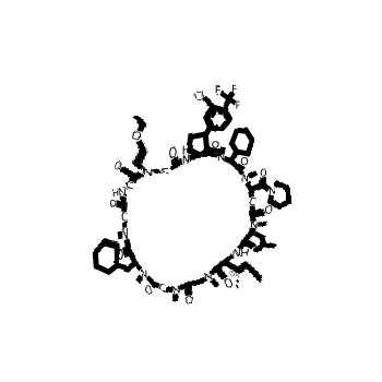 CCOCCN1CC(=O)NC2(CCC(c3ccc(C(F)(F)F)c(Cl)c3)C2CC)C(=O)N(C)C(C2CCCCC2)C(=O)N(C)C(C(=O)N2CCCCC2)CC(=O)N(C)C(CC(C)C)C(=O)NC([C@@H](C)CC)C(=O)N(C)CC(=O)N(C)CC(=O)N(C)C(CC2CCCCC2)C(=O)N(C)CC(=O)NCC1=O